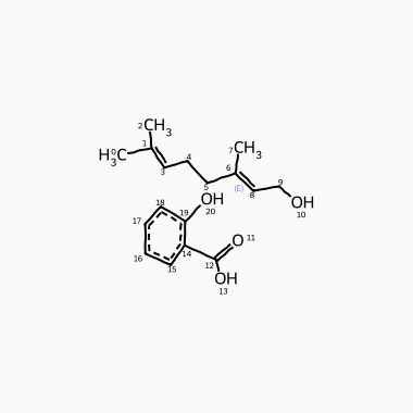 CC(C)=CCC/C(C)=C/CO.O=C(O)c1ccccc1O